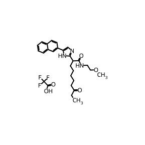 CCC(=O)CCCCCC(C(=O)NCCOC)c1ncc(-c2ccc3ccccc3c2)[nH]1.O=C(O)C(F)(F)F